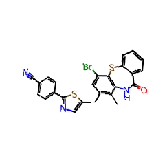 Cc1c(Cc2cnc(-c3ccc(C#N)cc3)s2)cc(Br)c2c1NC(=O)c1ccccc1S2